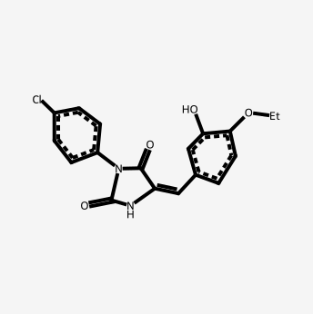 CCOc1ccc(C=C2NC(=O)N(c3ccc(Cl)cc3)C2=O)cc1O